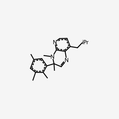 Cc1cc(C)c(C)c(C2(C)C=Nc3c(CC(C)C)ccnc3N2C)c1